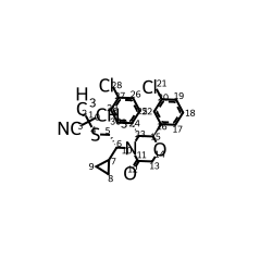 CC(C)(C#N)SC[C@@H](C1CC1)N1C(=O)CO[C@H](c2cccc(Cl)c2)[C@H]1c1ccc(Cl)cc1